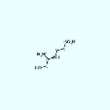 NC(CO)NCCS(=O)(=O)O